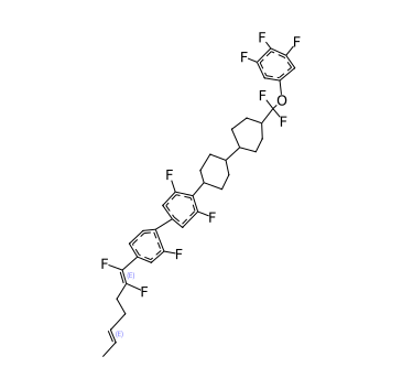 C/C=C/CC/C(F)=C(\F)c1ccc(-c2cc(F)c(C3CCC(C4CCC(C(F)(F)Oc5cc(F)c(F)c(F)c5)CC4)CC3)c(F)c2)c(F)c1